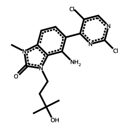 Cn1c(=O)n(CCC(C)(C)O)c2c(N)c(-c3nc(Cl)ncc3Cl)ccc21